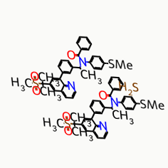 CSc1ccc(N(C(=O)c2ccccc2)C(C)c2cccc(-c3cc(C(C)(C)S(C)(=O)=O)cc4cccnc34)c2)cc1.CSc1ccc(N(C(=O)c2ccccc2)C(C)c2cccc(-c3cc(C(C)(C)S(C)(=O)=O)cc4cccnc34)c2)cc1.S